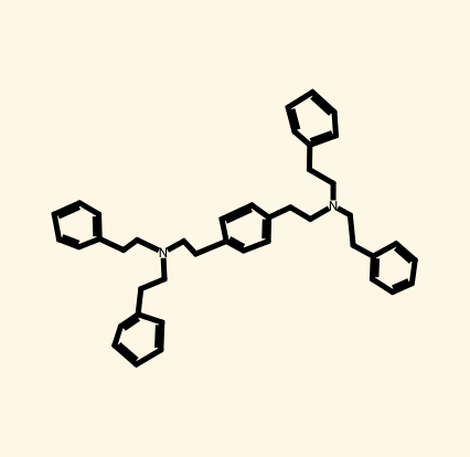 c1ccc(CCN(CCc2ccccc2)CCc2ccc(CCN(CCc3ccccc3)CCc3ccccc3)cc2)cc1